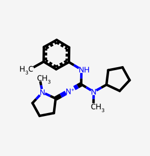 Cc1cccc(NC(=[N+]=C2CCCN2C)N(C)C2CCCC2)c1